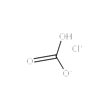 O=C([O-])O.[Cl+]